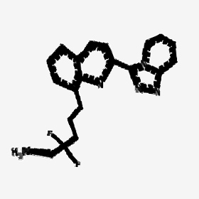 NCC(F)(F)CCCc1cccc2ccc(-c3nnc4ccccn34)nc12